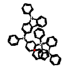 c1ccc(N(c2cccc([Si](c3ccccc3)(c3ccccc3)c3ccccc3N(c3ccccc3)c3ccccc3)c2)c2ccc3c(c2)c2ccccc2n3-c2ccccc2)cc1